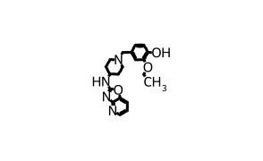 CCOc1cc(CN2CCC(Nc3nc4ncccc4o3)CC2)ccc1O